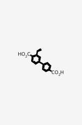 C=Cc1cc(-c2ccc(C(=O)O)cc2)ccc1C(=O)O